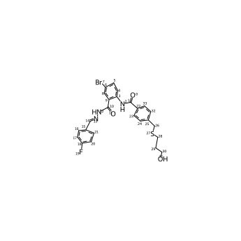 O=C(Nc1ccc(Br)cc1C(=O)NN=Cc1ccc(F)cc1)c1ccc(CSCCCO)cc1